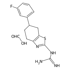 N=C(N)Nc1nc2c(s1)CC(c1cccc(F)c1)CC2.O=CO